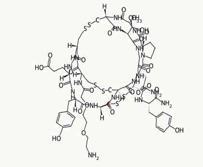 C[C@@H]1NC(=O)[C@@H]2CCCN2C(=O)[C@H](CC(N)=O)NC(=O)[C@@H]2CSSC[C@H](NC(=O)COCCOCCN)C(=O)N[C@H]3CSSC[C@H](NC1=O)C(=O)N[C@@H]([C@@H](C)O)C(=O)NCC(=O)N[C@H](C(=O)N[C@@H](Cc1ccc(O)cc1)C(N)=O)CSSC[C@H](NC(=O)[C@H](Cc1ccc(O)cc1)NC(=O)[C@H](CCC(=O)O)NC3=O)C(=O)N2